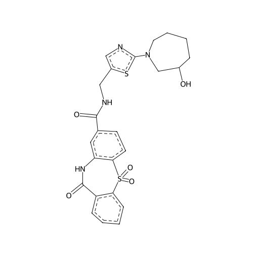 O=C(NCc1cnc(N2CCCCC(O)C2)s1)c1ccc2c(c1)NC(=O)c1ccccc1S2(=O)=O